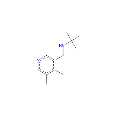 Cc1cncc(CNC(C)(C)C)c1C